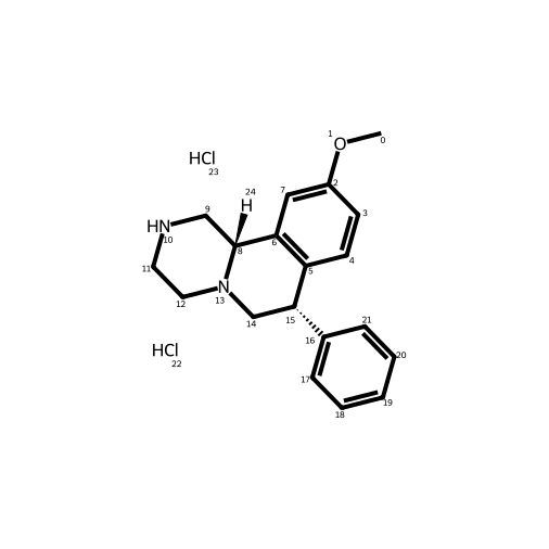 COc1ccc2c(c1)[C@H]1CNCCN1C[C@H]2c1ccccc1.Cl.Cl